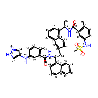 Cc1ccc(NS(C)(=O)=O)cc1C(=O)N[C@H](C)c1cccc2cc(C[C@@H](NC(=O)c3cc(Nc4cn[nH]c4)ccc3C)c3cccc4ccccc34)ccc12